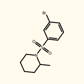 CC1CCCCN1S(=O)(=O)c1cccc(Br)c1